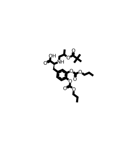 CCCOC(=O)Oc1ccc(C[C@H](NCC(C)OC(=O)C(C)(C)C)C(=O)O)cc1OC(=O)OCCC